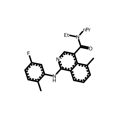 CCCN(CC)C(=O)c1cnc(Nc2cc(F)ccc2C)c2cccc(C)c12